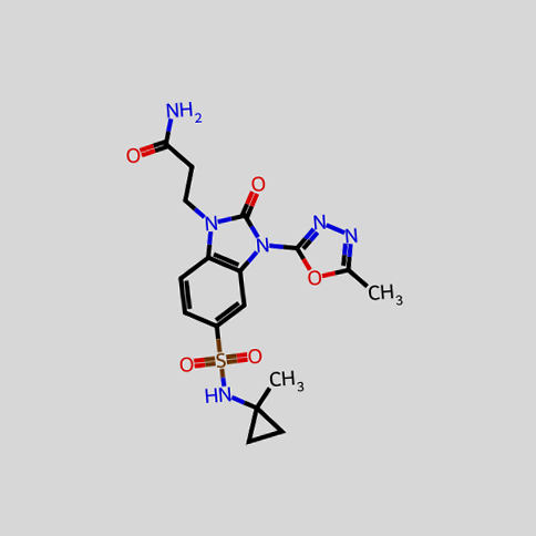 Cc1nnc(-n2c(=O)n(CCC(N)=O)c3ccc(S(=O)(=O)NC4(C)CC4)cc32)o1